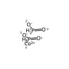 O=[PH2][O-].O=[PH2][O-].[Co+2]